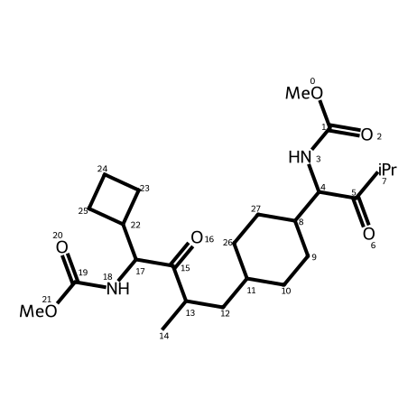 COC(=O)NC(C(=O)C(C)C)C1CCC(CC(C)C(=O)C(NC(=O)OC)C2CCC2)CC1